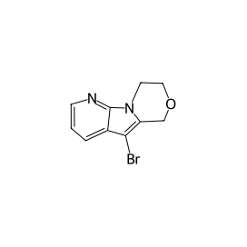 Brc1c2n(c3ncccc13)CCOC2